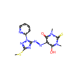 CSc1nc(N=Nc2c(O)n(C)c(=S)n(C)c2=O)n(-c2ccccn2)n1